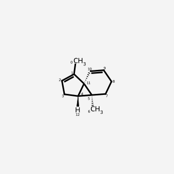 CC1=CC[C@H]2[C@]3(C)CCC=C[C@@]123